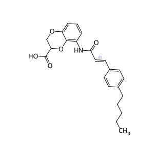 CCCCCc1ccc(/C=C/C(=O)Nc2cccc3c2OC(C(=O)O)CO3)cc1